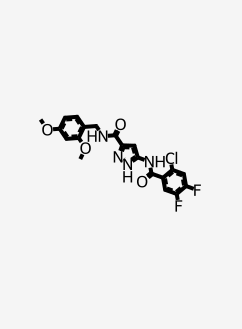 COc1ccc(CNC(=O)c2cc(NC(=O)c3cc(F)c(F)cc3Cl)[nH]n2)c(OC)c1